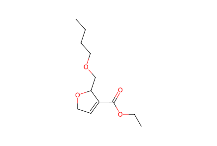 CCCCOCC1OCC=C1C(=O)OCC